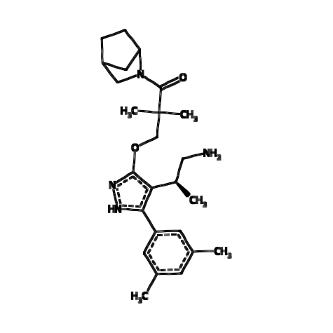 Cc1cc(C)cc(-c2[nH]nc(OCC(C)(C)C(=O)N3CC4CCC3C4)c2[C@H](C)CN)c1